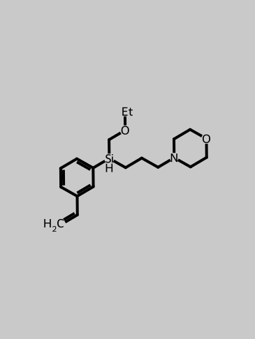 C=Cc1cccc([SiH](CCCN2CCOCC2)COCC)c1